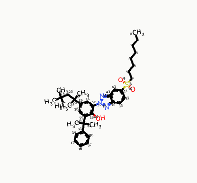 CCCCCCCCS(=O)(=O)c1ccc2nn(-c3cc(C(C)(C)CC(C)(C)C)cc(C(C)(C)c4ccccc4)c3O)nc2c1